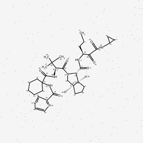 CCC[C@H](NC(=O)[C@@H]1[C@H]2CCC[C@H]2CN1C(=O)[C@@H](NC(=O)C1(NC(=O)c2cnccn2)CCCCC1)C(C)(C)C)C(=O)C(=O)NC1CC1